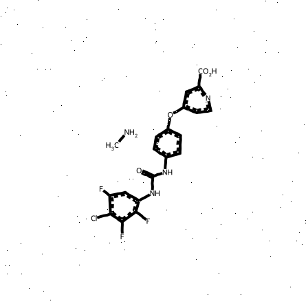 CN.O=C(Nc1ccc(Oc2ccnc(C(=O)O)c2)cc1)Nc1cc(F)c(Cl)c(F)c1F